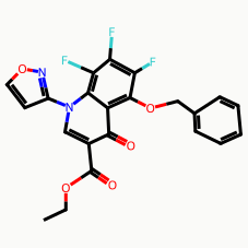 CCOC(=O)c1cn(-c2ccon2)c2c(F)c(F)c(F)c(OCc3ccccc3)c2c1=O